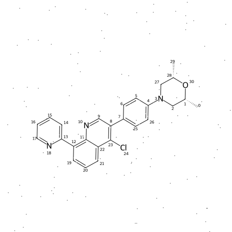 C[C@@H]1CN(c2ccc(-c3cnc4c(-c5ccccn5)cccc4c3Cl)cc2)C[C@H](C)O1